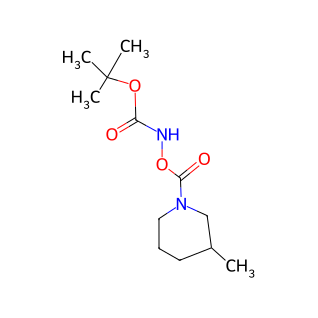 CC1CCCN(C(=O)ONC(=O)OC(C)(C)C)C1